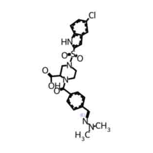 CN(C)/N=C/c1ccc(C(=O)N2CCN(S(=O)(=O)c3cc4cc(Cl)ccc4[nH]3)CC2C(=O)O)cc1